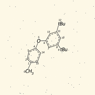 Cc1ccc(Oc2cc(C(C)(C)C)cc(C(C)(C)C)c2)cc1